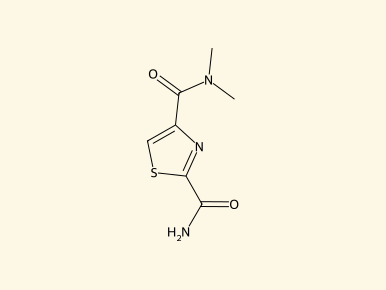 CN(C)C(=O)c1csc(C(N)=O)n1